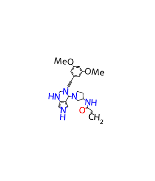 C=CC(=O)NC1CCN(C2c3c[nH]cc3NCN2C#Cc2cc(OC)cc(OC)c2)C1